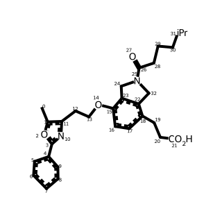 Cc1oc(-c2ccccc2)nc1CCOc1ccc(CCC(=O)O)c2c1CN(C(=O)CCCC(C)C)C2